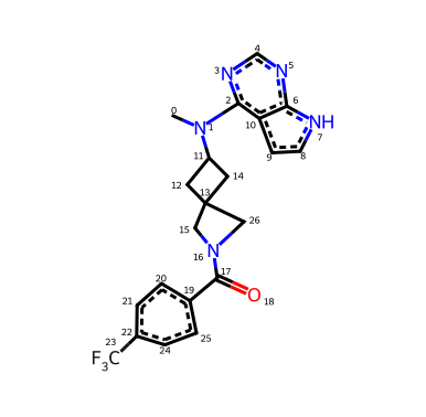 CN(c1ncnc2[nH]ccc12)C1CC2(C1)CN(C(=O)c1ccc(C(F)(F)F)cc1)C2